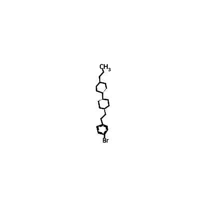 CCC[C@H]1CC[C@H]([C@H]2CC[C@H](CCc3ccc(Br)cc3)CC2)CC1